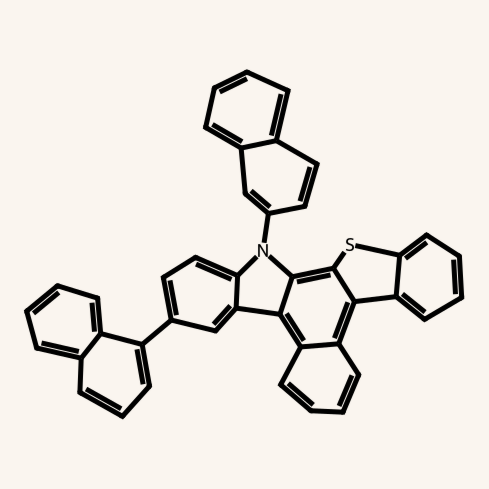 c1ccc2cc(-n3c4ccc(-c5cccc6ccccc56)cc4c4c5ccccc5c5c6ccccc6sc5c43)ccc2c1